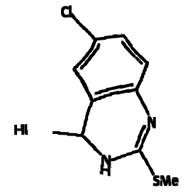 CSC1=Nc2ccc(Cl)cc2C(C)N1.I